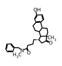 CN(Cc1ccccc1)C(=O)CCC[C@@H]1CC(=O)[C@@]2(C)CCC3c4ccc(O)cc4CCC3C12